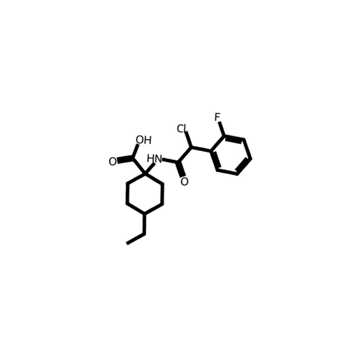 CCC1CCC(NC(=O)C(Cl)c2ccccc2F)(C(=O)O)CC1